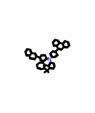 CC1(C)C2=C(C=CCC=C2)c2c(N(c3ccc(-c4ccc5ccccc5c4)cc3)c3ccc(-c4cc5ccccc5c5ccccc45)cc3)cccc21